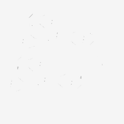 CC(C)(C)C(Cc1c[nH]c2ccc(CC(=O)NC(c3ccccc3)c3cccc4cc[nH]c34)cc12)C(=O)O.O=C(O)CCc1c[nH]c2ccc(CC(=O)NC(c3ccccc3)c3cccc4cc[nH]c34)cc12